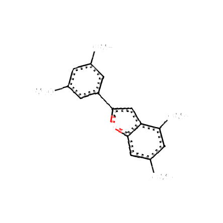 COc1cc(OC)cc(-c2cc3c(OC)cc(OC)cc3o2)c1